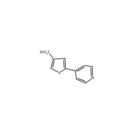 CCOC(=O)c1csc(-c2ccncc2)c1